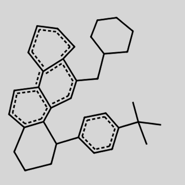 CC(C)(C)c1ccc(C2CCCc3ccc4c(cc(CC5CCCCC5)c5ccccc54)c32)cc1